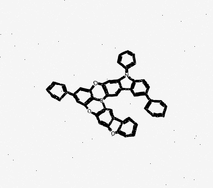 c1ccc(-c2cc3c4c(c2)Oc2cc5c(cc2B4c2cc4c(cc2O3)oc2ccccc24)c2cc(-c3ccccc3)ccc2n5-c2ccccc2)cc1